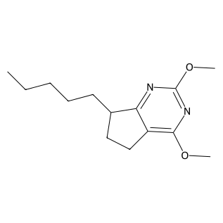 CCCCCC1CCc2c(OC)nc(OC)nc21